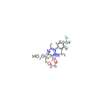 Cc1nc(NC(C)c2cccc(C(F)F)c2F)c(C2OCCO2)c(C(C)C(=O)O)n1